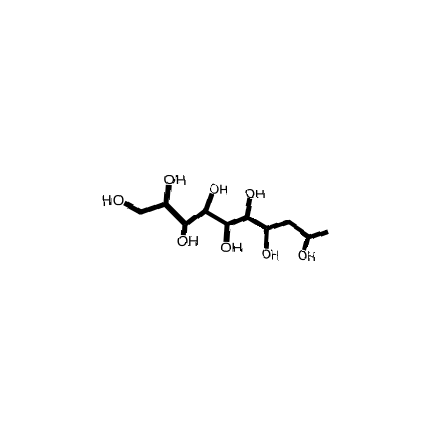 CC(O)CC(O)C(O)C(O)C(O)C(O)C(O)CO